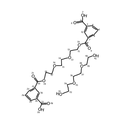 O=C(O)c1cccc(C(=O)OCCOCCOCCOC(=O)c2cccc(C(=O)O)c2)c1.OCCOCCOCCO